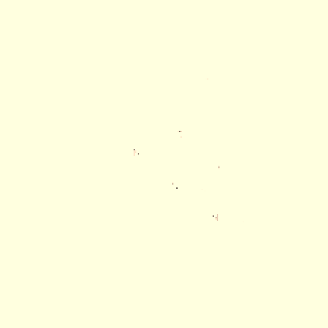 CCC(C)(C)NC(=O)/N=c1\sc(C)c(C)n1CCOC.Cl